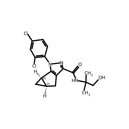 CC(C)(CO)NC(=O)c1nn(-c2ccc(Cl)cc2Cl)c2c1C[C@H]1C[C@@H]21